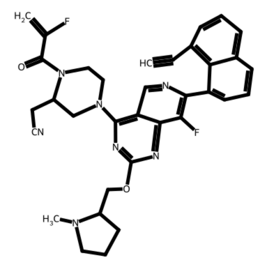 C#Cc1cccc2cccc(-c3ncc4c(N5CCN(C(=O)C(=C)F)C(CC#N)C5)nc(OCC5CCCN5C)nc4c3F)c12